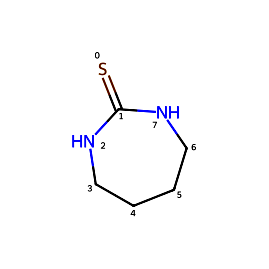 S=C1NCCCCN1